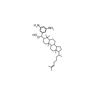 CC(C)=CCCCC(C)C1CCC2C3CCC4C(C)(C)C(C(OO)c5cc(N)cc(N)c5)CCC4(C)C3CCC12C